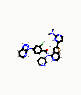 CN(C)c1nccc(-c2cc3c(N(C(=O)c4ccc(-n5nnc6cccnc65)cc4F)[C@@H]4CCCNC4)nccc3s2)n1